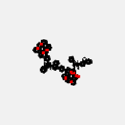 c1ccc(-c2cc(-c3cccc(-c4cccc5c4C4(c6ccccc6-5)c5ccccc5C5(c6ccccc6-c6c(-c7ccc(-c8ccc(-c9cc(-c%10ccc(-c%11ccc%12c(c%11)C%11(c%13ccccc%13-c%13ccccc%13%11)c%11ccccc%11C%12%11c%12ccccc%12-c%12ccccc%12%11)cc%10)nc(-c%10ccccc%10)n9)c9ccccc89)cc7)cccc65)c5ccccc54)c3)nc(-c3ccc4c(c3)oc3ccccc34)n2)cc1